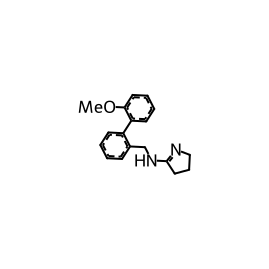 COc1ccccc1-c1ccccc1CNC1=NCCC1